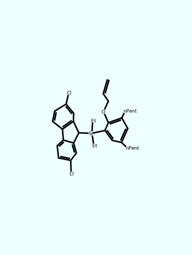 C=CCOc1c(CCCCC)cc(CCCCC)cc1[Si](CC)(CC)C1c2cc(Cl)ccc2-c2ccc(Cl)cc21